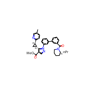 CCC[C@@H]1CCCCN1C(=O)c1cccc(-c2cccc(-n3ncc(C(=O)OC)c3[C@@H]3C[C@H]3c3ccc(C)cn3)c2)c1